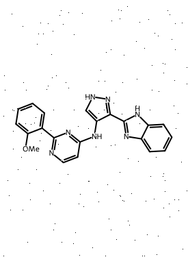 COc1ccccc1-c1nccc(Nc2c[nH]nc2-c2nc3ccccc3[nH]2)n1